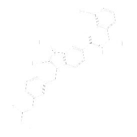 Cc1c(Cc2cccc(OC(C(=O)O)C(C)C)c2)c2ccc(C(=O)N[C@@H](C)c3cccc(C(C)(C)C)c3)cc2n1C